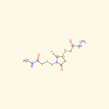 CNC(=O)CCCN1C(=O)CC(SCC(=O)NC)C1=O